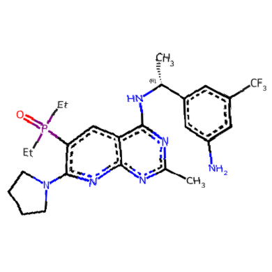 CCP(=O)(CC)c1cc2c(N[C@H](C)c3cc(N)cc(C(F)(F)F)c3)nc(C)nc2nc1N1CCCC1